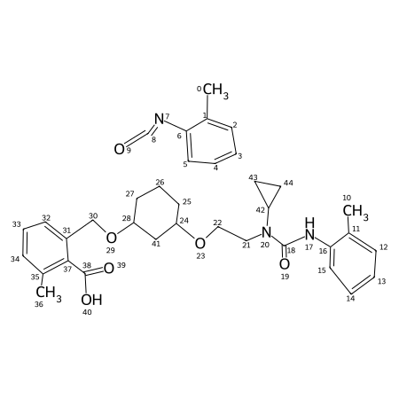 Cc1ccccc1N=C=O.Cc1ccccc1NC(=O)N(CCOC1CCCC(OCc2cccc(C)c2C(=O)O)C1)C1CC1